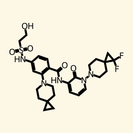 O=C(Nc1cccn(N2CCC3(CC2)CC3(F)F)c1=O)c1ccc(NS(=O)(=O)CCO)cc1N1CCC2(CC1)CC2